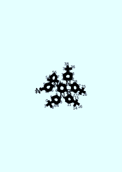 CC(C)(C)c1ccc(N2c3ccc(C(C)(C)C)cc3B3c4cc(C(C)(C)C)ccc4N(c4ccc(C(C)(C)C)cc4)c4cc(N5c6ccc(C#N)cc6C6(C)CCCC56C)cc2c43)cc1